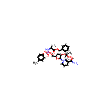 Cc1ccc(OP(=O)(NC(C)C(=O)OCc2ccccc2)OCC2CC(OC(C)(C)O)C([n+]3cccc(C(N)=O)c3)O2)cc1